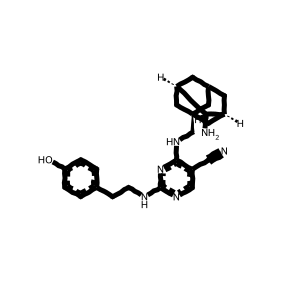 N#Cc1cnc(NCCc2ccc(O)cc2)nc1NC[C@]12CC3C[C@H](C1)[C@@H](N)[C@@H](C3)C2